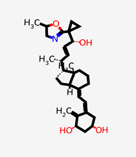 C=C1/C(=C\C=C2/CCC[C@]3(C)[C@@H]([C@H](C)/C=C/[C@@H](O)C4(C5=NCC(C)O5)CC4)CC[C@@H]23)C[C@@H](O)C[C@@H]1O